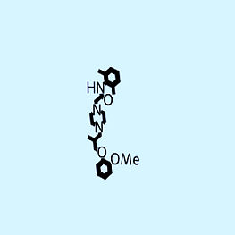 COc1ccccc1OCC(C)CN1CCN(CC(=O)Nc2c(C)cccc2C)CC1